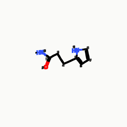 [NH]C(=O)CCc1ccc[nH]1